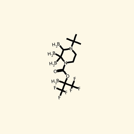 BC1N(C(C)(C)C)CCN(C(=O)OC(B)(C(F)(F)F)C(F)(F)F)C1(B)B